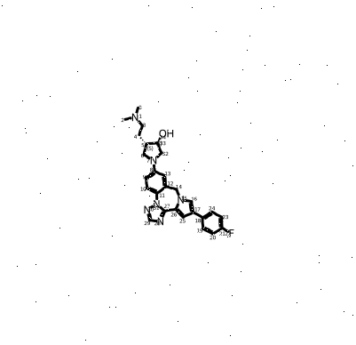 CN(C)CC[C@H]1CN(c2ccc3c(c2)Cn2cc(-c4ccc(F)cc4)cc2-c2ncnn2-3)C[C@@H]1O